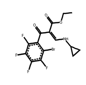 CCOC(=O)C(=CNC1CC1)C(=O)c1c(F)c(F)c(F)c(F)c1Br